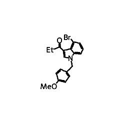 CCC(=O)c1cn(Cc2ccc(OC)cc2)c2cccc(Br)c12